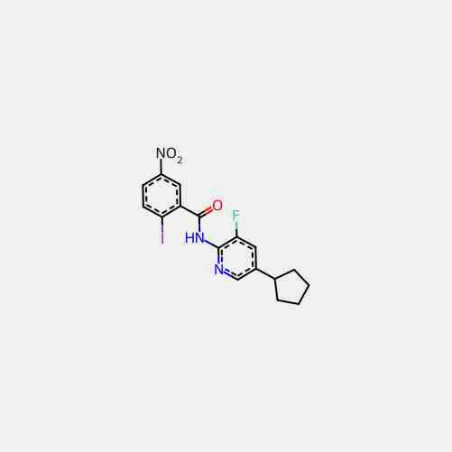 O=C(Nc1ncc(C2CCCC2)cc1F)c1cc([N+](=O)[O-])ccc1I